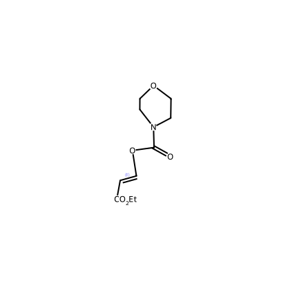 CCOC(=O)/C=C/OC(=O)N1CCOCC1